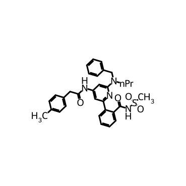 CCCN(Cc1ccccc1)c1cc(NC(=O)Cc2ccc(C)cc2)cc(-c2ccccc2C(=O)NS(C)(=O)=O)n1